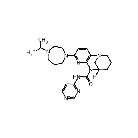 CC(C)N1CCCN(c2ccc3c(n2)N(C(=O)Nc2ccncn2)[C@H]2CCCN3C2)CC1